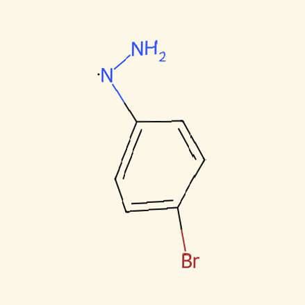 N[N]c1ccc(Br)cc1